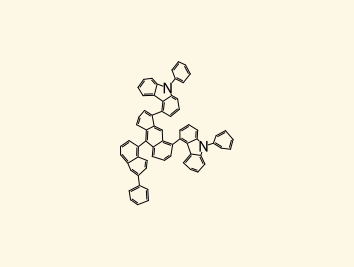 c1ccc(-c2ccc3c(-c4c5cccc(-c6cccc7c6c6ccccc6n7-c6ccccc6)c5cc5c(-c6cccc7c6c6ccccc6n7-c6ccccc6)cccc45)cccc3c2)cc1